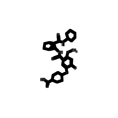 COc1cc(F)c(OC2CCC(C(=O)O)CC2)cc1C(=O)NC1C2CCC(C2)C1C(=O)NC1CCCCC1